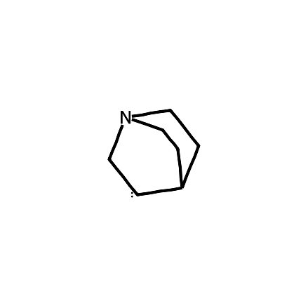 [C]1CN2CCC1CC2